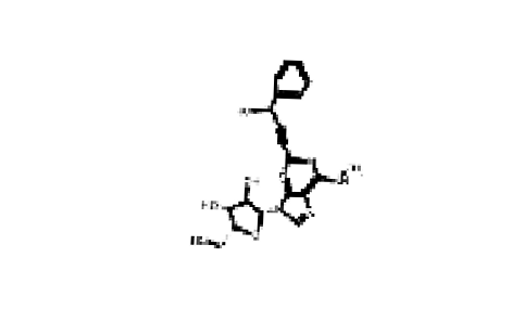 CNc1nc(C#CC(O)c2ccccc2)nc2c1ncn2[C@@H]1O[C@H](CO)[C@H](O)[C@H]1O